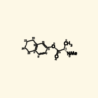 CN[C@@H](C)C(=O)Oc1ccc2c(c1)CCCC2